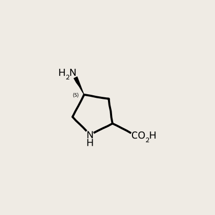 N[C@@H]1CNC(C(=O)O)C1